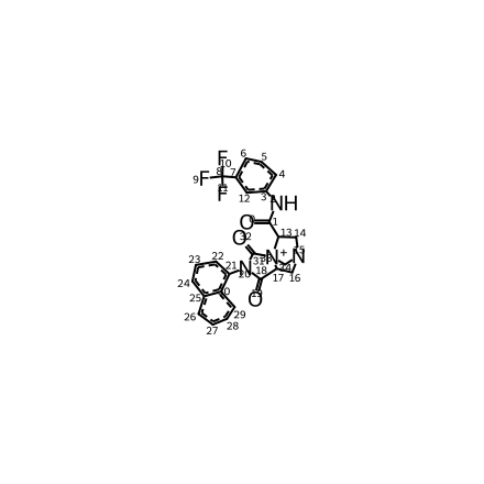 O=C(Nc1cccc(C(F)(F)F)c1)C1CN2CC3C(=O)N(c4cccc5ccccc45)C(=O)[N+]13C2